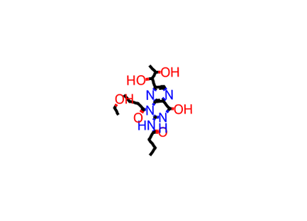 CCCC(=O)NC1NC(O)c2ncc(C(O)C(C)O)nc2N1C(=O)CCC.CCO